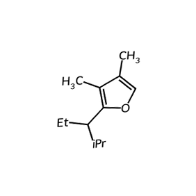 CCC(c1occ(C)c1C)C(C)C